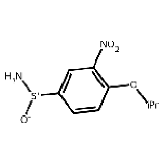 CC(C)Oc1ccc([S+](N)[O-])cc1[N+](=O)[O-]